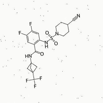 N#CC1CCN(S(=O)(=O)Nc2cc(F)c(F)cc2C(=O)NC23CC(C(F)(F)F)(C2)C3)CC1